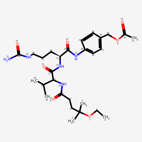 CCOC(C)(C)CCC(=O)NC(C(=O)N[C@@H](CCCNC(N)=O)C(=O)Nc1ccc(COC(C)=O)cc1)C(C)C